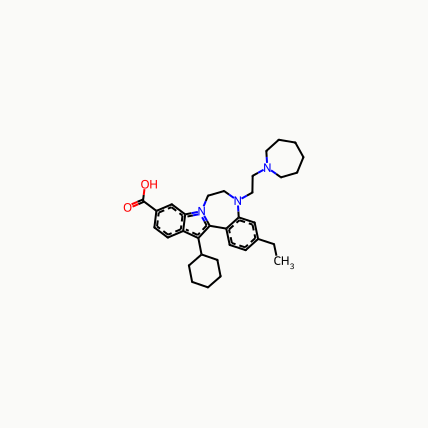 CCc1ccc2c(c1)N(CCN1CCCCCC1)CCn1c-2c(C2CCCCC2)c2ccc(C(=O)O)cc21